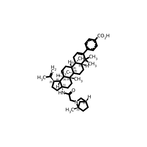 C=C(C)[C@@H]1CC[C@]2(NC(=O)CN3C[C@@H]4CC[C@@]3(C)C4)CC[C@]3(C)[C@H](CC[C@@H]4[C@@]5(C)CC=C(c6ccc(C(=O)O)cc6)C(C)(C)[C@@H]5CC[C@]43C)[C@@H]12